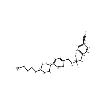 CCCCCC1CCC(c2ccc(COC(F)(F)Cc3ccc(C#N)cc3)cc2)CC1